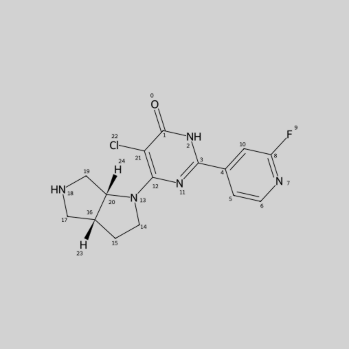 O=c1[nH]c(-c2ccnc(F)c2)nc(N2CC[C@@H]3CNC[C@@H]32)c1Cl